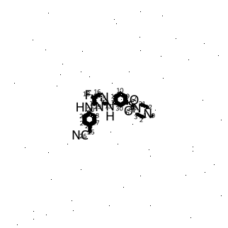 CN1CCN(S(=O)(=O)c2cccc(Nc3ncc(F)c(Nc4ccc(CC#N)cc4)n3)c2)CC1